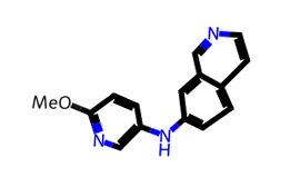 COc1ccc(Nc2ccc3ccncc3c2)cn1